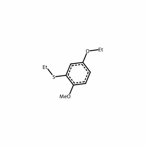 CCOc1ccc(OC)c(SCC)c1